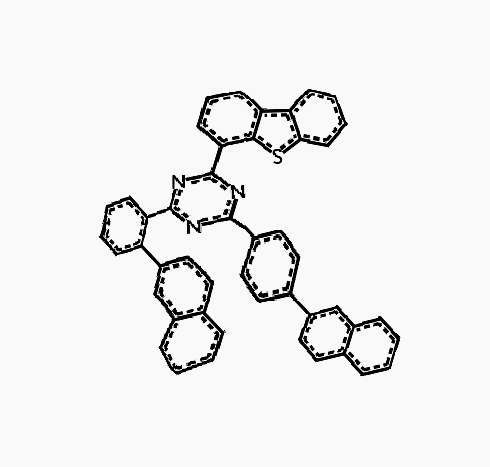 c1ccc(-c2nc(-c3ccc(-c4ccc5ccccc5c4)cc3)nc(-c3cccc4c3sc3ccccc34)n2)c(-c2ccc3ccccc3c2)c1